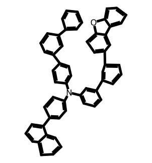 c1ccc(-c2cccc(-c3ccc(N(c4ccc(-c5cccc6ccccc56)cc4)c4cccc(-c5cccc(-c6ccc7oc8ccccc8c7c6)c5)c4)cc3)c2)cc1